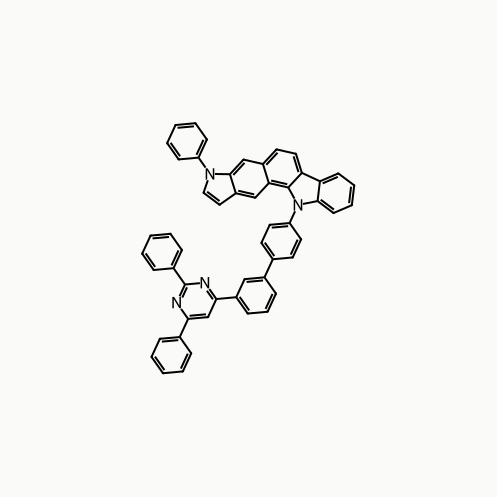 c1ccc(-c2cc(-c3cccc(-c4ccc(-n5c6ccccc6c6ccc7cc8c(ccn8-c8ccccc8)cc7c65)cc4)c3)nc(-c3ccccc3)n2)cc1